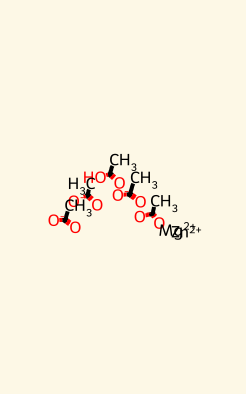 CC(=O)O.CC(=O)[O-].CC(=O)[O-].CC(=O)[O-].CC(=O)[O-].[Mg+2].[Zn+2]